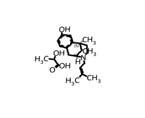 CC(C)=CCN1CC[C@]2(C)c3cc(O)ccc3C[C@H]1C2C.CC(O)C(=O)O